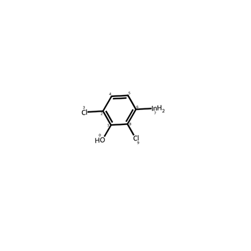 Oc1c(Cl)cc[c]([InH2])c1Cl